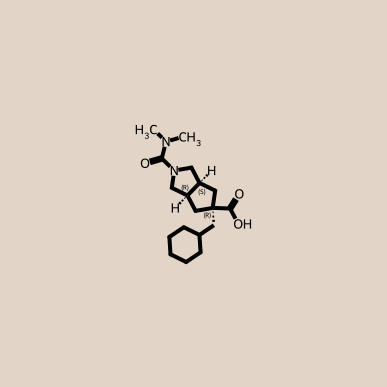 CN(C)C(=O)N1C[C@@H]2C[C@](CC3CCCCC3)(C(=O)O)C[C@@H]2C1